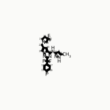 Cc1cc(Nc2nc(C(F)(F)c3ccc(F)cc3)nn3cc(CN4CCC(F)(F)C4)cc23)n[nH]1